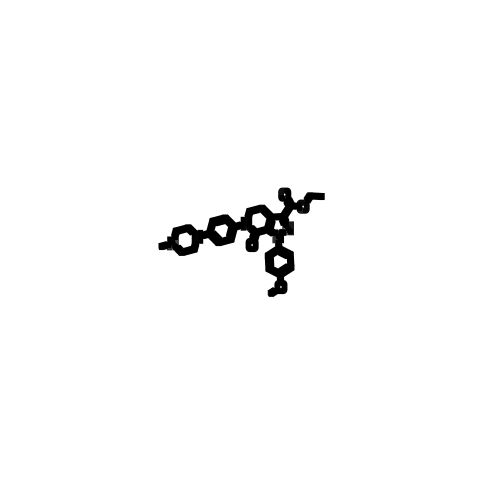 CCOC(=O)c1nn(-c2ccc(OC)cc2)c2c1CCN(c1ccc(N3CCN(C)CC3)cc1)C2=O